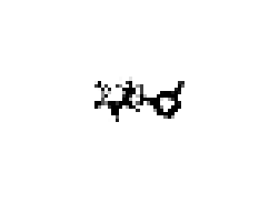 CON(C)C(=O)c1sc(-c2cccc(F)c2)nc1O